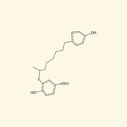 CCCCCCCCc1ccc(O)c(SC(C)CCCCCCc2ccc(O)cc2)c1